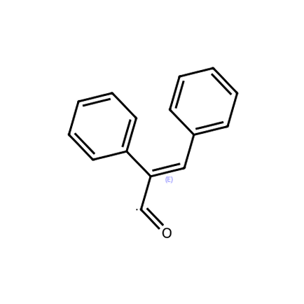 O=[C]/C(=C/c1ccccc1)c1ccccc1